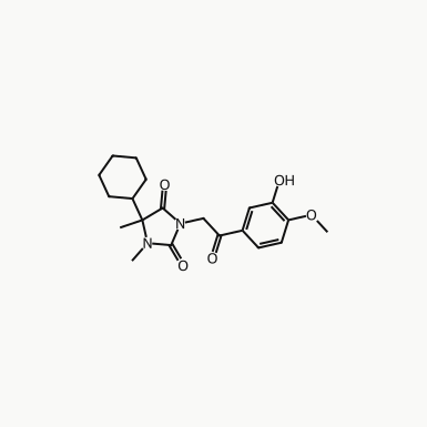 COc1ccc(C(=O)CN2C(=O)N(C)C(C)(C3CCCCC3)C2=O)cc1O